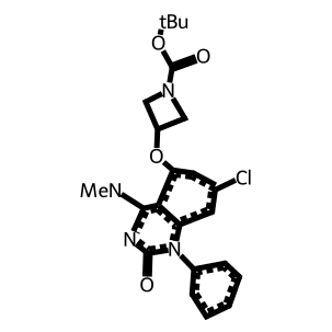 CNc1nc(=O)n(-c2ccccc2)c2cc(Cl)cc(OC3CN(C(=O)OC(C)(C)C)C3)c12